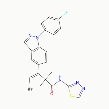 CC(C)C=C(c1ccc2c(cnn2-c2ccc(F)cc2)c1)C(C)(C)C(=O)Nc1nncs1